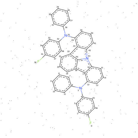 Fc1ccc(N(c2ccccc2)c2cccc3c2c2cccc4c5c(N(c6ccccc6)c6ccc(F)cc6)cccc5n3c24)cc1